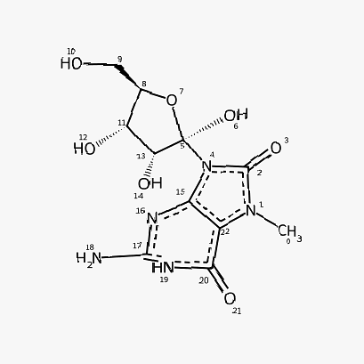 Cn1c(=O)n([C@]2(O)O[C@H](CO)[C@@H](O)[C@H]2O)c2nc(N)[nH]c(=O)c21